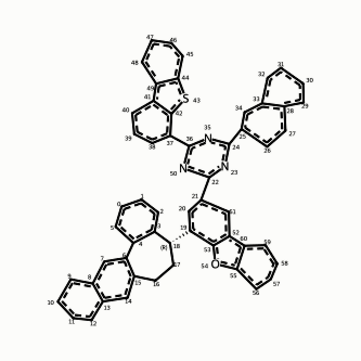 c1ccc2c(c1)-c1cc3ccccc3cc1CC[C@H]2c1cc(-c2nc(-c3ccc4ccccc4c3)nc(-c3cccc4c3sc3ccccc34)n2)cc2c1oc1ccccc12